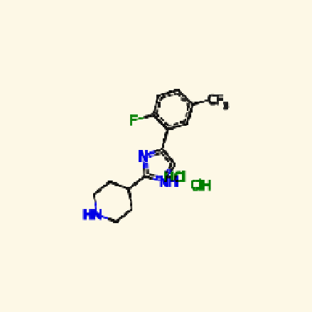 Cl.Cl.Fc1ccc(C(F)(F)F)cc1-c1c[nH]c(C2CCNCC2)n1